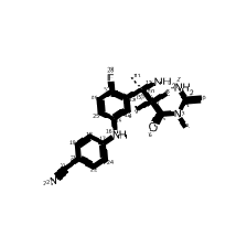 C=C(N)N(C)C(=O)C(C)(C)[C@](C)(N)c1cc(Nc2ccc(C#N)cc2)ccc1F